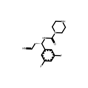 N=CC[C@H](NC(=O)N1CCNCC1)c1cc(F)cc(F)c1